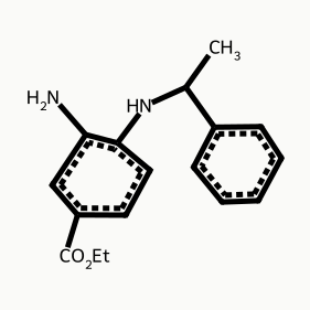 CCOC(=O)c1ccc(NC(C)c2ccccc2)c(N)c1